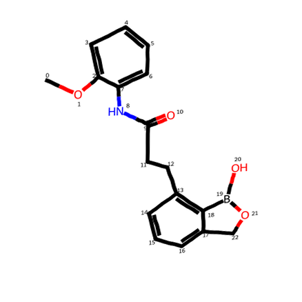 COc1ccccc1NC(=O)CCc1cccc2c1B(O)OC2